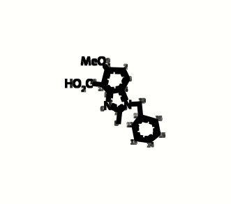 COc1ccc2c(nc(C)n2Cc2ccccc2)c1C(=O)O